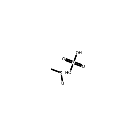 C[S][U].O=S(=O)(O)O